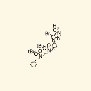 Cc1ncnc2c1c(Br)cn2[C@H]1CC[C@@H](CN(CCCN(CCc2ccccc2)C(=O)OC(C)(C)C)C(=O)OC(C)(C)C)C1